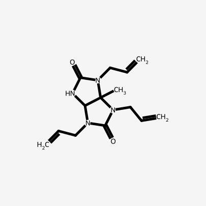 C=CCN1C(=O)N(CC=C)C2(C)C1NC(=O)N2CC=C